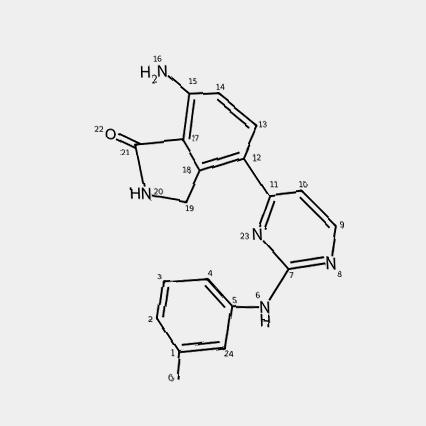 Cc1cccc(Nc2nccc(-c3ccc(N)c4c3CNC4=O)n2)c1